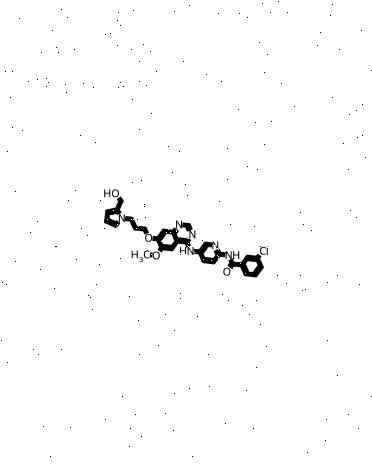 COc1cc2c(Nc3ccc(NC(=O)c4cccc(Cl)c4)nc3)ncnc2cc1OCCCn1cccc1CO